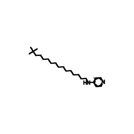 CC(C)(C)CCCCCCCCCCCCCCNc1[c]cncc1